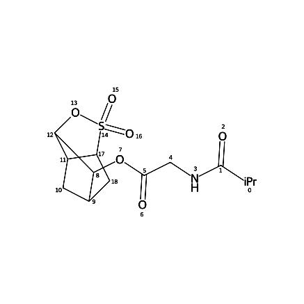 CC(C)C(=O)NCC(=O)OC1C2CC3C1OS(=O)(=O)C3C2